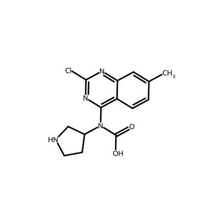 Cc1ccc2c(N(C(=O)O)C3CCNC3)nc(Cl)nc2c1